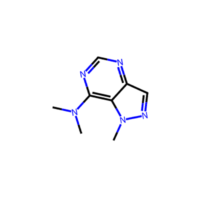 CN(C)c1ncnc2cnn(C)c12